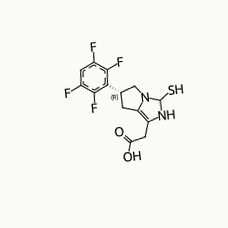 O=C(O)CC1=C2C[C@H](c3c(F)c(F)cc(F)c3F)CN2C(S)N1